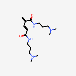 C=C(C=CC(=O)NCCCN(C)C)C(=O)NCCCN(C)C